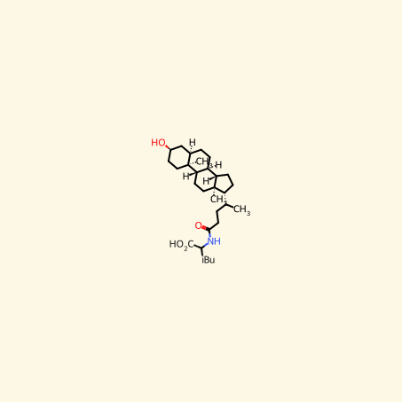 CCC(C)C(NC(=O)CCC(C)[C@H]1CC[C@H]2[C@@H]3CC[C@@H]4C[C@H](O)CC[C@]4(C)[C@H]3CC[C@]12C)C(=O)O